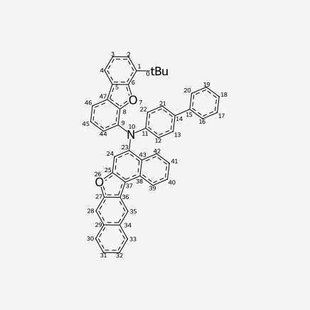 CC(C)(C)c1cccc2c1oc1c(N(c3ccc(-c4ccccc4)cc3)c3cc4oc5cc6ccccc6cc5c4c4ccccc34)cccc12